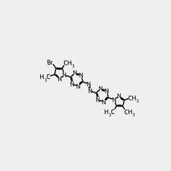 Cc1nn(-c2nnc(N=Nc3nnc(-n4nc(C)c(Br)c4C)nn3)nn2)c(C)c1C